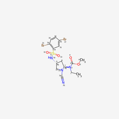 CCN(C(=O)OC)[C@@H]1C[C@@H](NS(=O)(=O)c2cc(Br)ccc2Br)CN1C#N